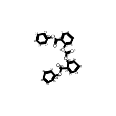 O=C(Oc1ccccc1C(=O)Oc1ccccc1)Oc1ccccc1C(=O)Oc1ccccc1